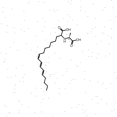 CCCC/C=C/C=C/C=C\CCCCCCC(N[C@@H](C)C(=O)O)C(=O)O